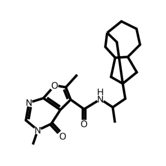 Cc1oc2ncn(C)c(=O)c2c1C(=O)NC(C)CC12CC3CCCC(C1)C(C3)C2